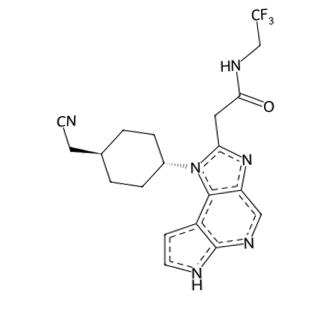 N#CC[C@H]1CC[C@H](n2c(CC(=O)NCC(F)(F)F)nc3cnc4[nH]ccc4c32)CC1